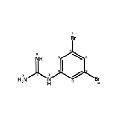 N=C(N)Nc1cc(Br)cc(Br)c1